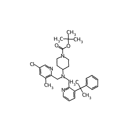 Cc1cc(Cl)cnc1CN(Cc1ncccc1C(C)(C)c1ccccc1)C1CCN(C(=O)OC(C)(C)C)CC1